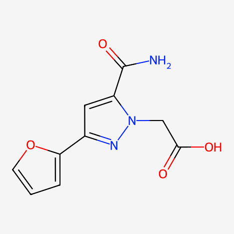 NC(=O)c1cc(-c2ccco2)nn1CC(=O)O